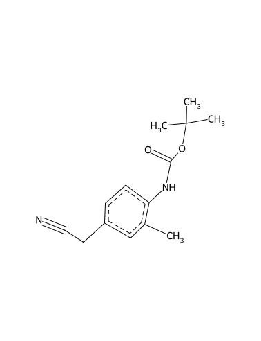 Cc1cc(CC#N)ccc1NC(=O)OC(C)(C)C